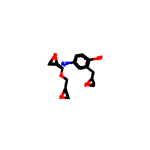 C(OCC1CO1)C1CO1.Nc1ccc(O)c(CC2CO2)c1